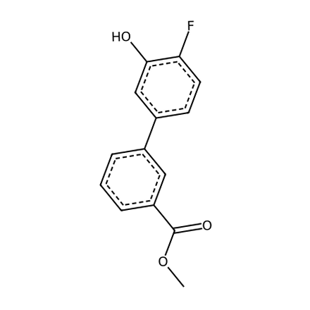 COC(=O)c1cccc(-c2ccc(F)c(O)c2)c1